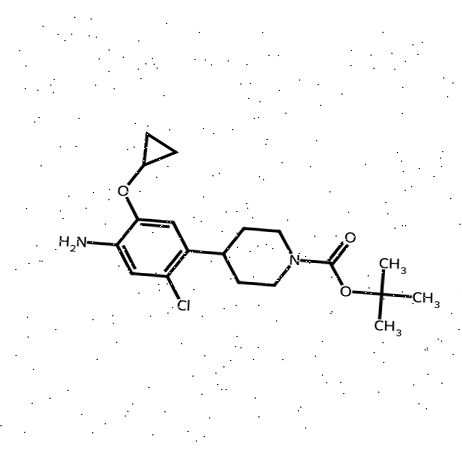 CC(C)(C)OC(=O)N1CCC(c2cc(OC3CC3)c(N)cc2Cl)CC1